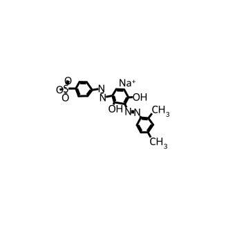 Cc1ccc(N=Nc2c(O)ccc(N=Nc3ccc(S(=O)(=O)[O-])cc3)c2O)c(C)c1.[Na+]